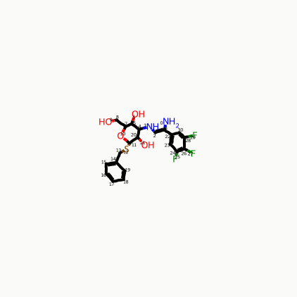 N/C(=C\NC1C(O)C(CO)OC(SCc2ccccc2)C1O)c1cc(F)c(F)c(F)c1